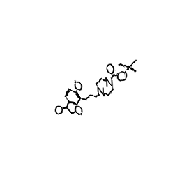 COc1ccc2c(c1CCCN1CCN(C(=O)OC(C)(C)C)CC1)OCC2=O